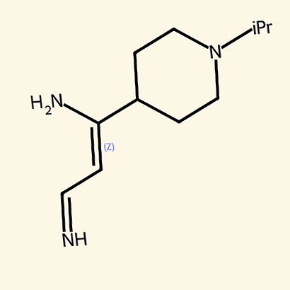 CC(C)N1CCC(/C(N)=C/C=N)CC1